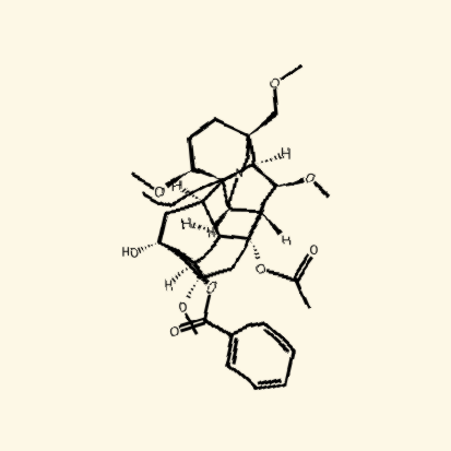 CCN1C[C@]2(COC)CC[C@H](OC)[C@@]34[C@@H]5C[C@]6(O)[C@@H](OC)C[C@@](OC(C)=O)([C@H]5[C@H]6OC(=O)c5ccccc5)[C@@H]([C@H](OC)[C@H]23)[C@@H]14